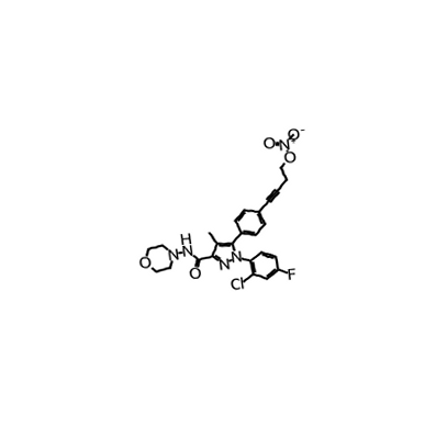 Cc1c(C(=O)NN2CCOCC2)nn(-c2ccc(F)cc2Cl)c1-c1ccc(C#CCCO[N+](=O)[O-])cc1